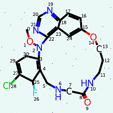 CON1C2=C(CNCC(=O)NCCCOc3ccc4ncnc1c4c3)C(F)C(Cl)=CC2